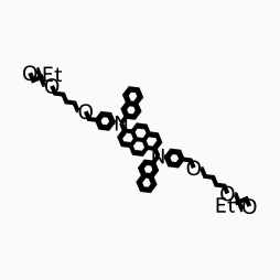 CCC1(COCCCCCOCc2ccc(N(C3=CC=C4C=CC5C(N(c6ccc(COCCCCCOCC7(CC)COC7)cc6)c6ccc7ccccc7c6)=CC=C6C=CC3C4C65)c3ccc4ccccc4c3)cc2)COC1